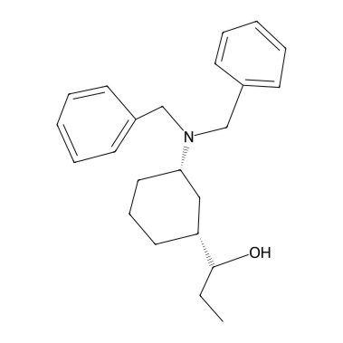 CCC(O)[C@@H]1CCC[C@H](N(Cc2ccccc2)Cc2ccccc2)C1